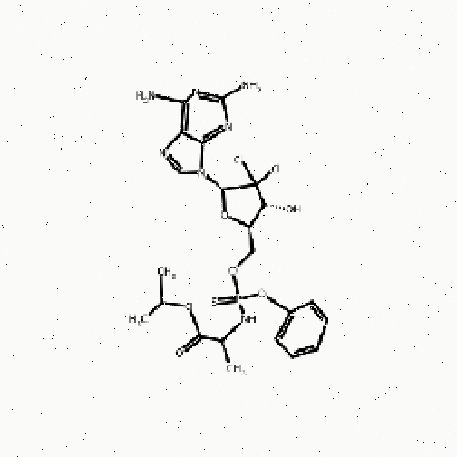 CC(C)OC(=O)[C@H](C)NP(=S)(OC[C@H]1O[C@@H](n2cnc3c(N)nc(N)nc32)C(Cl)(Cl)[C@@H]1O)Oc1ccccc1